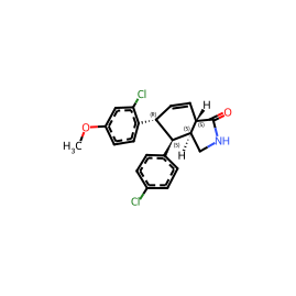 COc1ccc([C@@H]2C=C[C@@H]3C(=O)NC[C@H]3[C@H]2c2ccc(Cl)cc2)c(Cl)c1